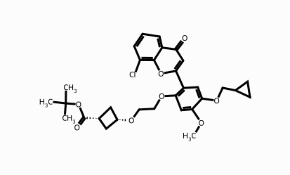 COc1cc(OCCO[C@H]2C[C@@H](C(=O)OC(C)(C)C)C2)c(-c2cc(=O)c3cccc(Cl)c3o2)cc1OCC1CC1